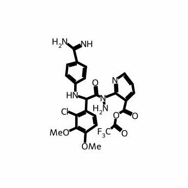 COc1ccc(C(Nc2ccc(C(=N)N)cc2)C(=O)N(N)c2ncccc2C(=O)OC(=O)C(F)(F)F)c(Cl)c1OC